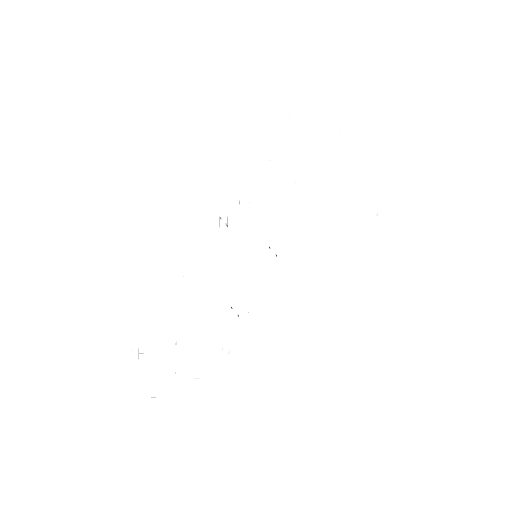 FC(F)(F)c1ccc(-c2noc(-c3cccc4ccccc34)n2)nc1